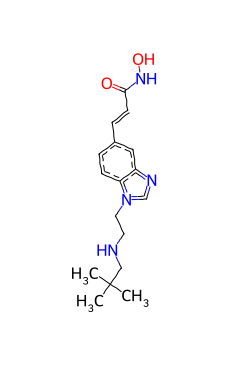 CC(C)(C)CNCCn1cnc2cc(C=CC(=O)NO)ccc21